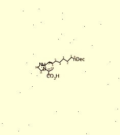 CCCCCCCCCCCCCCCC=CC1=NCCN1C(C)C(=O)O